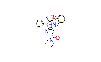 CCN(CC)C(=O)C1CN2CCC1C(NCc1ccccc1OC)C2C(c1ccccc1)c1ccccc1